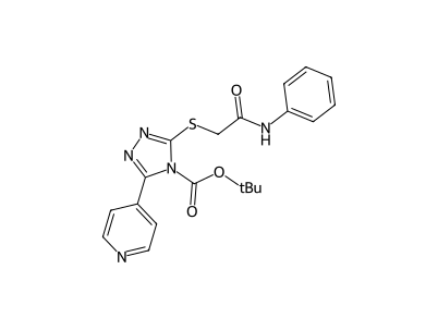 CC(C)(C)OC(=O)n1c(SCC(=O)Nc2ccccc2)nnc1-c1ccncc1